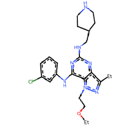 CCOCCn1nc(CC)c2nc(NCC3CCNCC3)nc(Nc3cccc(Cl)c3)c21